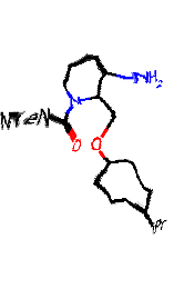 CNC(=O)N1CCCC(N)C1COC1CCC(C(C)C)CC1